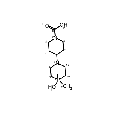 C[PH]1(O)CCN(C2CCN(C(=O)O)CC2)CC1